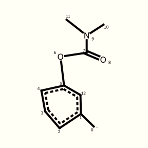 [CH2]c1cccc(OC(=O)N(C)C)c1